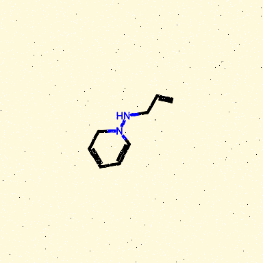 C=CCNN1C=CC=CC1